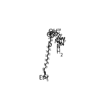 CC[Si](C)(C)C#CCCCCCCCCCCCOCCCOP(=O)(O)CO[C@H](C)Cn1cnc2c(N)ncnc21